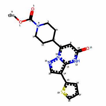 CC(C)(C)OC(=O)N1CCC(c2cc(=O)[nH]c3c(-c4cccs4)cnn23)CC1